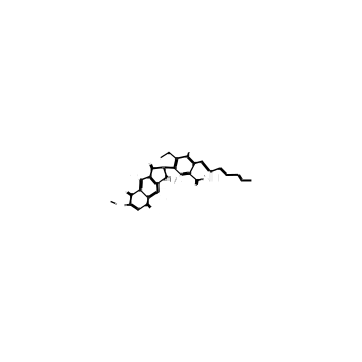 C/C=C/C=C/c1cc2c(I)c3c(c(O)c2c(=O)[nH]1)[C@@]1(CC3)C(=O)c2c(O)c3c(c(O)c2C1=O)C(=O)C(OC)=CC3=O